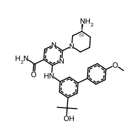 COc1ccc(-c2cc(Nc3nc(N4CCC[C@H](N)C4)ncc3C(N)=O)cc(C(C)(C)O)c2)cc1